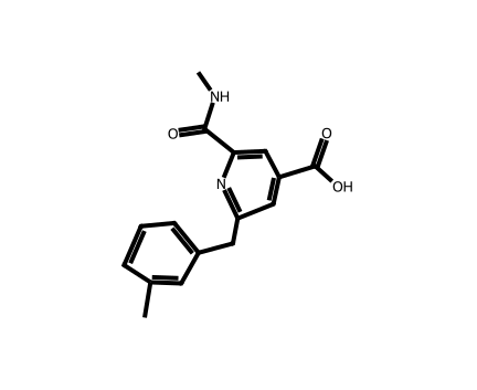 CNC(=O)c1cc(C(=O)O)cc(Cc2cccc(C)c2)n1